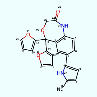 N#Cc1ccc(-c2ccc3c(c2)C(c2ccco2)(c2ccco2)OCC(=O)N3)[nH]1